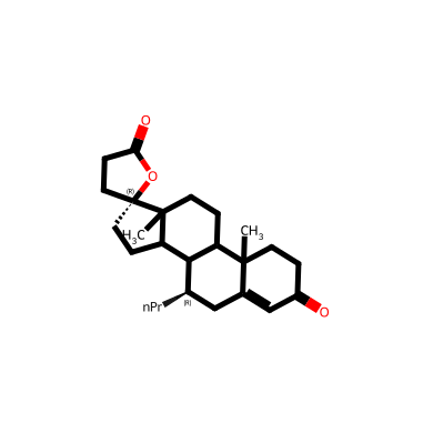 CCC[C@@H]1CC2=CC(=O)CCC2(C)C2CCC3(C)C(CC[C@@]34CCC(=O)O4)C21